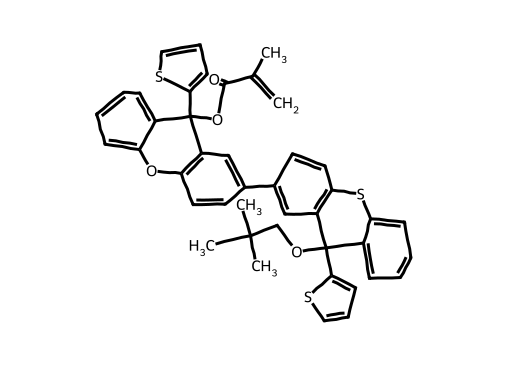 C=C(C)C(=O)OC1(c2cccs2)c2ccccc2Oc2ccc(-c3ccc4c(c3)C(OCC(C)(C)C)(c3cccs3)c3ccccc3S4)cc21